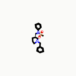 CS(=O)(=O)N(C[C@@H]1CCCN(Cc2ccccc2)C1)c1ccccc1